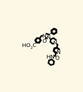 O=C(O)c1ccc(CN2C[C@@H](c3ccccc3)N(C3CCN(Cc4ccc(C(=O)NC5CCCCC5)nc4)CC3)C2=O)cc1